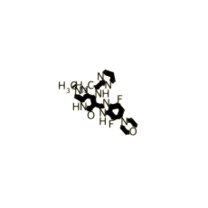 C[C@H](Nc1c(-c2nc3c(F)cc(N4CCOCC4)c(F)c3[nH]2)c(=O)[nH]c2cn(C)nc12)c1ncccn1